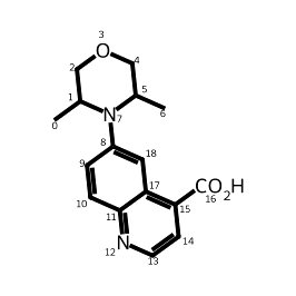 CC1COCC(C)N1c1ccc2nccc(C(=O)O)c2c1